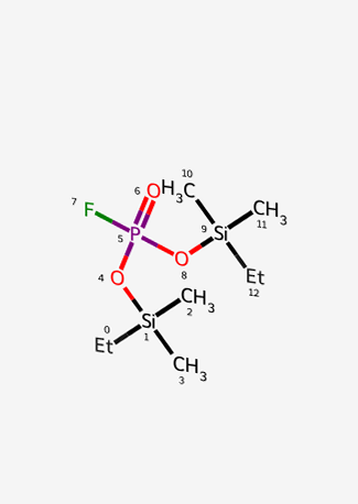 CC[Si](C)(C)OP(=O)(F)O[Si](C)(C)CC